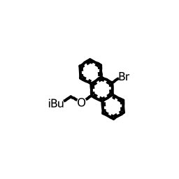 CCC(C)COc1c2ccccc2c(Br)c2ccccc12